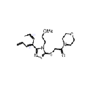 C=C/C=C(\C=C/C)c1nnc(SCC(=O)N2CCOCC2)n1CCOC